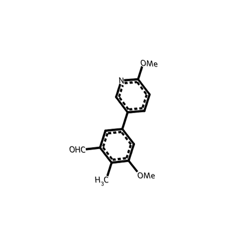 COc1ccc(-c2cc(C=O)c(C)c(OC)c2)cn1